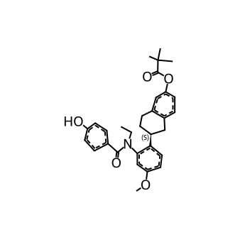 CCN(C(=O)c1ccc(O)cc1)c1cc(OC)ccc1[C@H]1CCc2cc(OC(=O)C(C)(C)C)ccc2C1